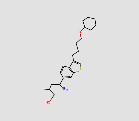 CC(CO)CC(N)c1ccc2c(CCCCOC3CCCCC3)csc2c1